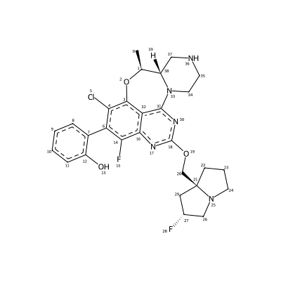 C[C@@H]1Oc2c(Cl)c(-c3ccccc3O)c(F)c3nc(OC[C@@]45CCCN4C[C@H](F)C5)nc(c23)N2CCNC[C@@H]12